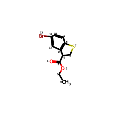 CCOC(=O)C1CSc2ccc(Br)cc21